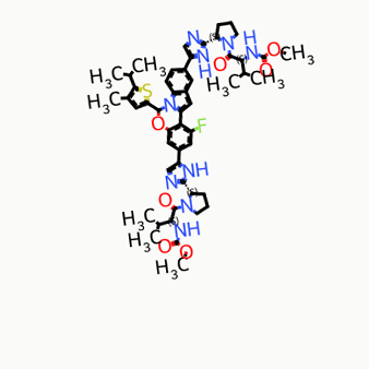 COC(=O)N[C@H](C(=O)N1CCC[C@H]1c1ncc(-c2cc(F)c3c(c2)OC(c2cc(C)c(C(C)C)s2)n2c-3cc3cc(-c4cnc([C@@H]5CCCN5C(=O)[C@@H](NC(=O)OC)C(C)C)[nH]4)ccc32)[nH]1)C(C)C